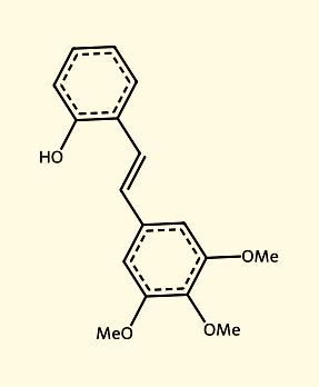 COc1cc(C=Cc2ccccc2O)cc(OC)c1OC